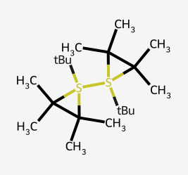 CC(C)(C)S1(S2(C(C)(C)C)C(C)(C)C2(C)C)C(C)(C)C1(C)C